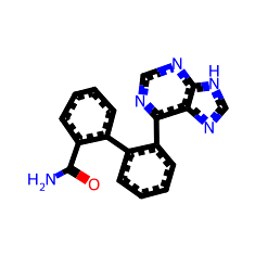 NC(=O)c1ccccc1-c1ccccc1-c1ncnc2[nH]cnc12